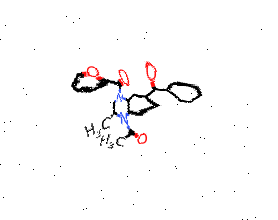 CC(=O)N1C2CCC(C(=O)C3CCCCC3)CC2N(C(=O)c2ccco2)C[C@@H]1C